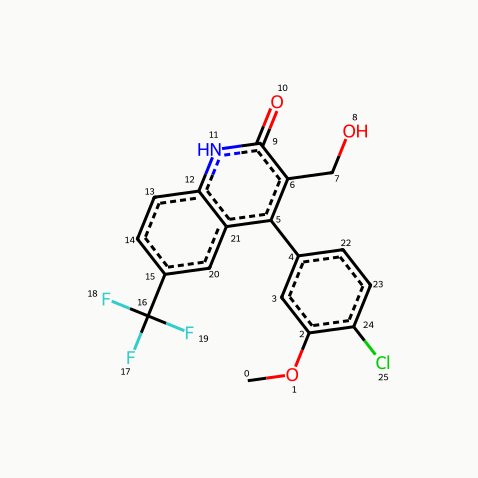 COc1cc(-c2c(CO)c(=O)[nH]c3ccc(C(F)(F)F)cc23)ccc1Cl